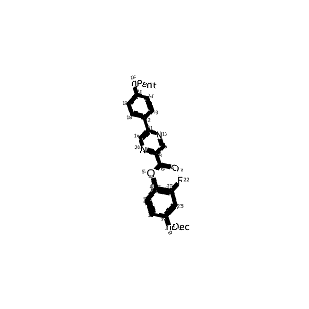 CCCCCCCCCCc1ccc(OC(=O)c2cnc(-c3ccc(CCCCC)cc3)cn2)c(F)c1